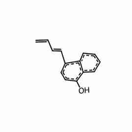 C=CC=Cc1ccc(O)c2ccccc12